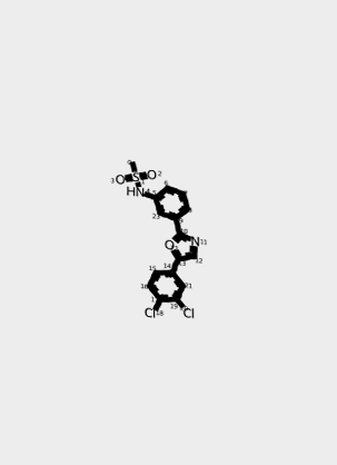 CS(=O)(=O)Nc1cccc(-c2ncc(-c3ccc(Cl)c(Cl)c3)o2)c1